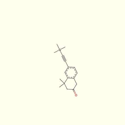 CC1(C)CC(=O)Cc2ccc(C#C[Si](C)(C)C)cc21